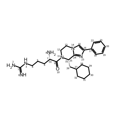 N=C(N)NCCC[C@H](N)C(=O)N1CCn2cc(-c3ccccc3)nc2[C@@H]1CC1CCCCC1